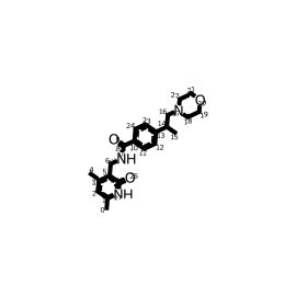 Cc1cc(C)c(CNC(=O)c2ccc(C(C)CN3CCOCC3)cc2)c(=O)[nH]1